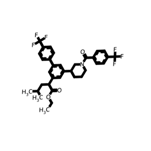 CCOC(=O)C(CC(C)C)c1cc(-c2ccc(C(F)(F)F)cc2)cc(C2CCCN(C(=O)c3ccc(C(F)(F)F)cc3)C2)c1